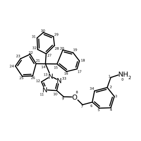 NCc1cccc(COCc2ncn(C(c3ccccc3)(c3ccccc3)c3ccccc3)n2)c1